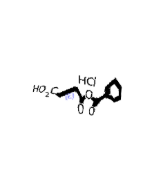 Cl.O=C(O)/C=C/C(=O)OC(=O)c1ccccc1